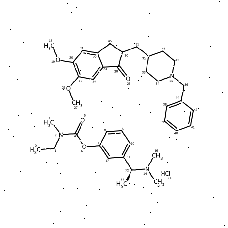 CCN(C)C(=O)Oc1cccc([C@H](C)N(C)C)c1.COc1cc2c(cc1OC)C(=O)C(CC1CCN(Cc3ccccc3)CC1)C2.Cl